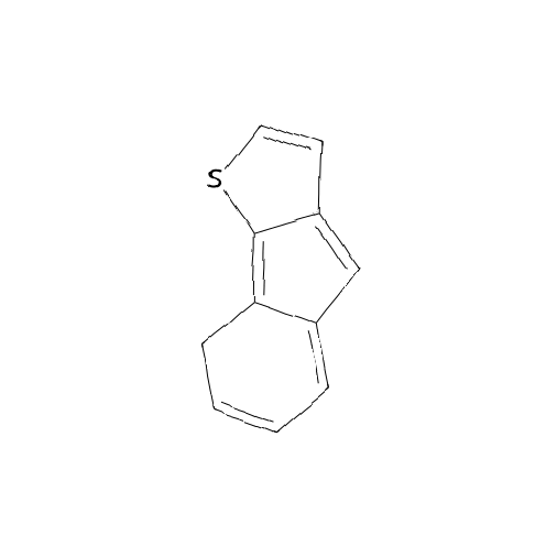 C1=CCC2=c3sccc3=CC2=C1